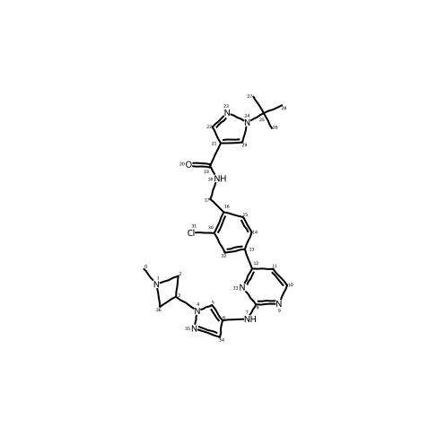 CN1CC(n2cc(Nc3nccc(-c4ccc(CNC(=O)c5cnn(C(C)(C)C)c5)c(Cl)c4)n3)cn2)C1